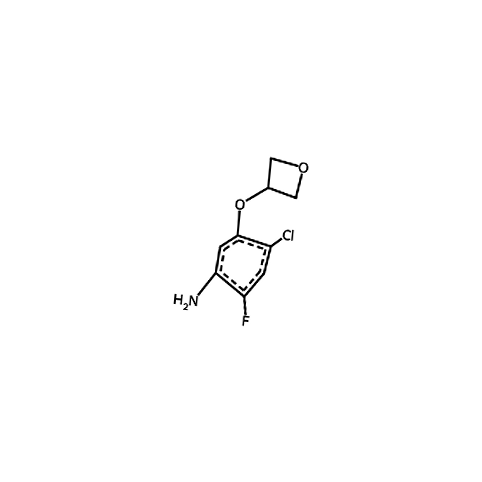 Nc1cc(OC2COC2)c(Cl)cc1F